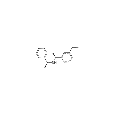 [CH2]Cc1cccc([C@H](C)N[C@@H](C)c2ccccc2)c1